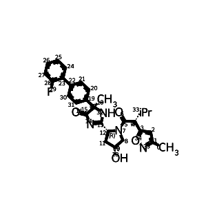 Cc1cc([C@H](C(=O)N2C[C@H](O)C[C@@H]2C2=NC(=O)[C@](C)(c3ccc(-c4ccccc4F)cc3)N2)C(C)C)on1